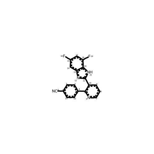 N#Cc1ccc(-c2ncccc2-c2nc3cc(F)cc(F)c3[nH]2)cc1